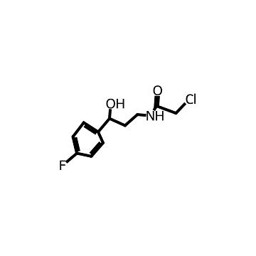 O=C(CCl)NCCC(O)c1ccc(F)cc1